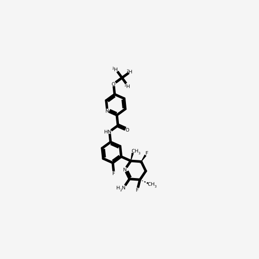 [2H]C([2H])([2H])Oc1ccc(C(=O)Nc2ccc(F)c([C@@]3(C)N=C(N)[C@](C)(F)C[C@@H]3F)c2)nc1